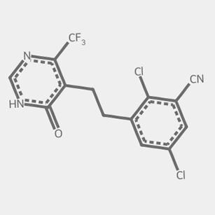 N#Cc1cc(Cl)cc(CCc2c(C(F)(F)F)nc[nH]c2=O)c1Cl